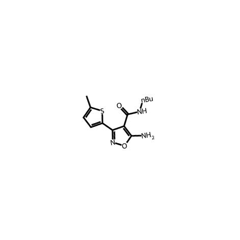 CCCCNC(=O)c1c(-c2ccc(C)s2)noc1N